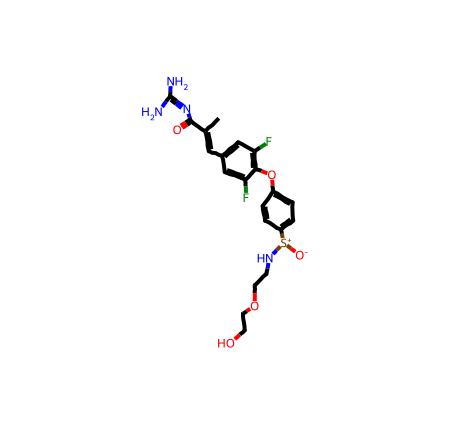 C/C(=C\c1cc(F)c(Oc2ccc([S+]([O-])NCCOCCO)cc2)c(F)c1)C(=O)N=C(N)N